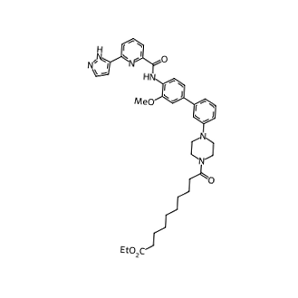 CCOC(=O)CCCCCCCCC(=O)N1CCN(c2cccc(-c3ccc(NC(=O)c4cccc(-c5ccn[nH]5)n4)c(OC)c3)c2)CC1